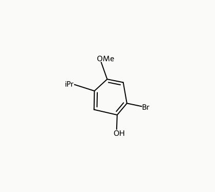 COc1cc(Br)c(O)cc1C(C)C